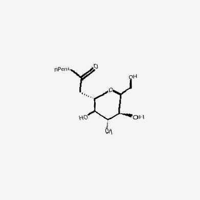 CCCCCC(=O)C[C@@H]1OC(CO)[C@@H](O)[C@H](O)C1O